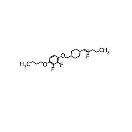 CCCCOc1ccc(OCC2CCC(/C=C(\F)CCC)CC2)c(F)c1F